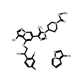 Cc1c(-c2cc(OCC(O)c3ccc(F)cc3F)c3c(C#N)cnn3c2)nnn1C1CCN(C(=O)OC(C)(C)C)CC1.N#Cc1cnn2ccccc12